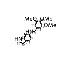 COc1cc(CNc2ccc3[c]c[nH]c3c2)cc(OC)c1OC